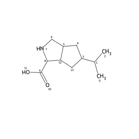 CC(C)C1CC2CNC(C(=O)O)C2C1